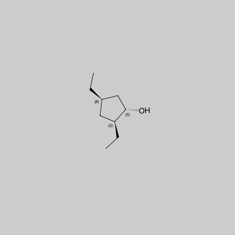 CC[C@@H]1C[C@H](CC)[C@@H](O)C1